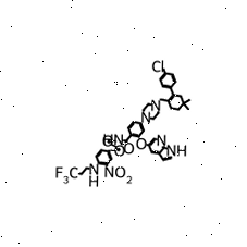 CC1(C)CCC(CN2CCN(c3ccc(C(=O)NS(=O)(=O)c4ccc(NCCC(F)(F)F)c([N+](=O)[O-])c4)c(Oc4cnc5[nH]ccc5c4)c3)CC2)=C(c2ccc(Cl)cc2)C1